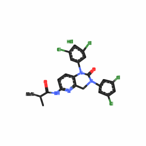 CNC(C)C(=O)Nc1ccc2c(n1)CN(c1cc(Cl)cc(Cl)c1)C(=O)N2c1cc(Cl)cc(Cl)c1.Cl